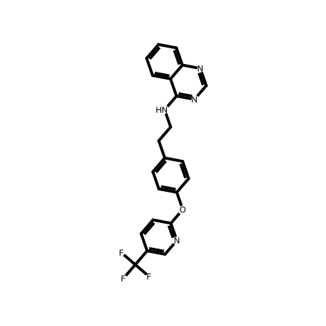 FC(F)(F)c1ccc(Oc2ccc(CCNc3ncnc4ccccc34)cc2)nc1